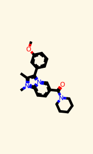 COc1cccc(-c2c(C)[n+](C)c3ccc(C(=O)N4CCCCC4)cn23)c1